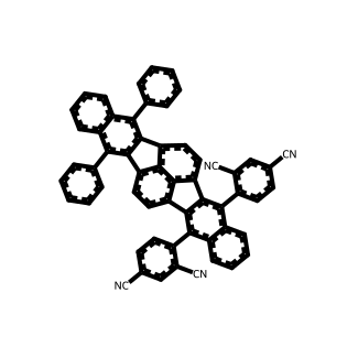 N#Cc1ccc(-c2c3c(c(-c4ccc(C#N)cc4C#N)c4ccccc24)-c2ccc4c5c(ccc-3c25)-c2c-4c(-c3ccccc3)c3ccccc3c2-c2ccccc2)c(C#N)c1